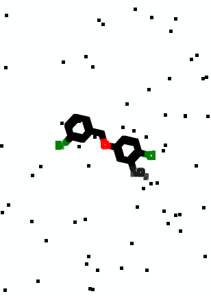 O=[N+]([O-])c1cc(OCc2cccc(Br)c2)ccc1Cl